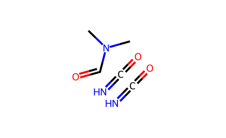 CN(C)C=O.N=C=O.N=C=O